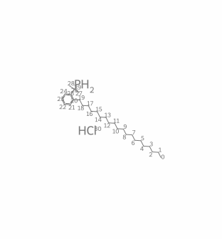 CCCCCCCCCCCCCCCCCCCCc1ccccc1C(C)(C)P.Cl